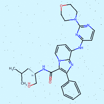 CC(C)C[C@@H](CO)NC(=O)c1c(-c2ccccc2)nc2c(Nc3ccnc(N4CCOCC4)n3)cccn12